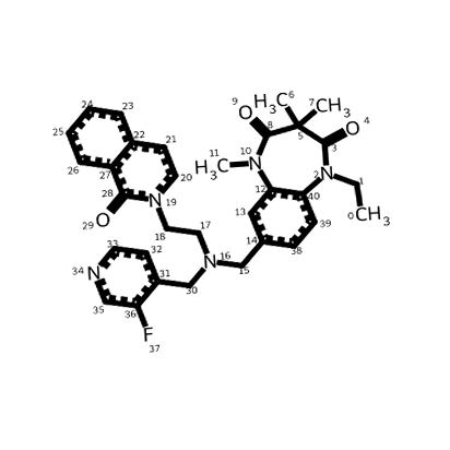 CCN1C(=O)C(C)(C)C(=O)N(C)c2cc(CN(CCn3ccc4ccccc4c3=O)Cc3ccncc3F)ccc21